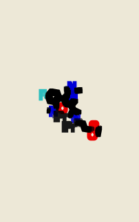 Cc1ncc2c(-c3ccc(F)cc3C(=O)N(C)C(C)C)cc(C3CN([C@@H](CCC4OCCO4)C(C)C)C3)cn12